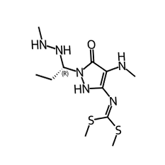 CC[C@H](NNC)n1[nH]c(N=C(SC)SC)c(NC)c1=O